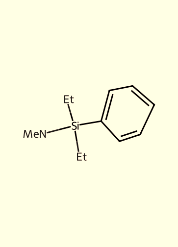 CC[Si](CC)(NC)c1ccccc1